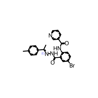 C/C(=N\NC(=O)c1cc(Br)ccc1NC(=O)c1cccnc1)c1ccc(C)cc1